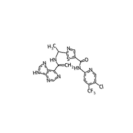 C=C(NC(C)c1ncc(C(=O)Nc2cc(C(F)(F)F)c(Cl)cn2)s1)c1ncnc2[nH]cnc12